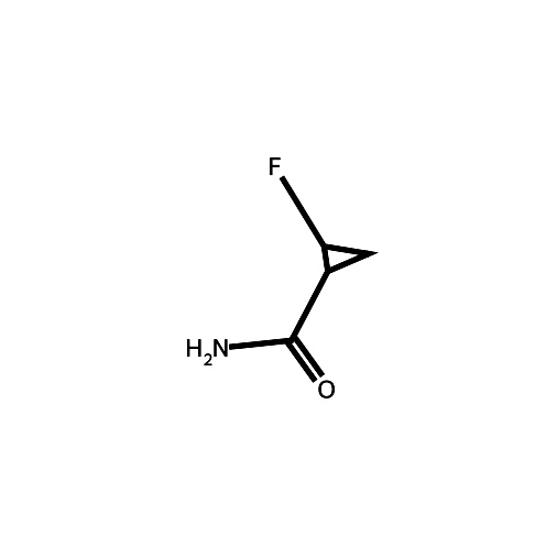 NC(=O)C1CC1F